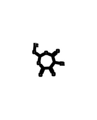 CCOC1OC(=O)C(=O)C(CC)C(=O)O1